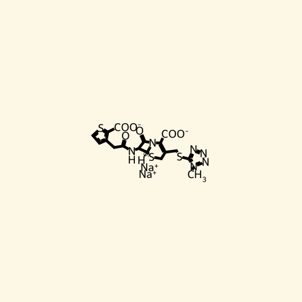 Cn1nnnc1SCC1=C(C(=O)[O-])N2C(=O)C(NC(=O)Cc3ccsc3C(=O)[O-])[C@@H]2SC1.[Na+].[Na+]